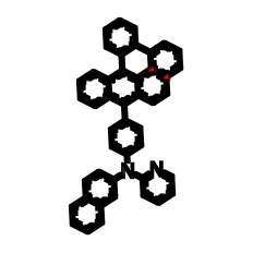 c1ccc(-c2ccccc2-c2c3ccccc3c(-c3ccc(N(c4ccc5ccccc5c4)c4ccccn4)cc3)c3ccccc23)cc1